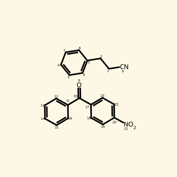 N#CCCc1ccccc1.O=C(c1ccccc1)c1ccc([N+](=O)[O-])cc1